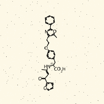 CC(=CC(=O)c1ccco1)N[C@@H](Cc1ccc(OCCc2nc(-c3ccccc3)oc2C)cc1)C(=O)O